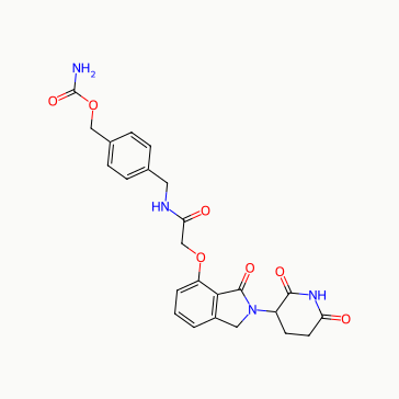 NC(=O)OCc1ccc(CNC(=O)COc2cccc3c2C(=O)N(C2CCC(=O)NC2=O)C3)cc1